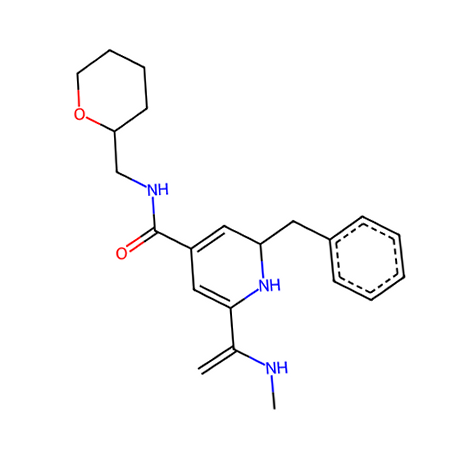 C=C(NC)C1=CC(C(=O)NCC2CCCCO2)=CC(Cc2ccccc2)N1